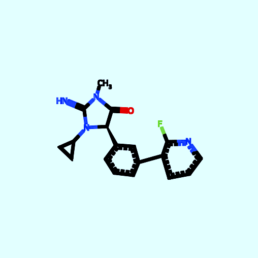 CN1C(=N)N(C2CC2)[C@H](c2cccc(-c3cccnc3F)c2)C1=O